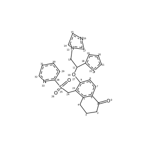 O=C1CCCc2c1ccc(OC(Cn1ccnc1)c1cccs1)c2CS(=O)(=O)c1ccccn1